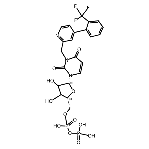 O=c1ccn([C@@H]2O[C@H](COP(=O)(O)OP(=O)(O)O)C(O)C2O)c(=O)n1Cc1cc(-c2ccccc2C(F)(F)F)ccn1